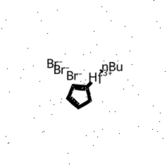 CCC[CH2][Hf+3][C]1=CC=CC1.[Br-].[Br-].[Br-]